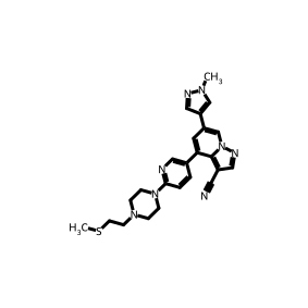 CSCCN1CCN(c2ccc(-c3cc(-c4cnn(C)c4)cn4ncc(C#N)c34)cn2)CC1